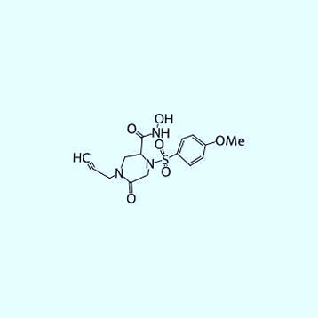 C#CCN1CC(C(=O)NO)N(S(=O)(=O)c2ccc(OC)cc2)CC1=O